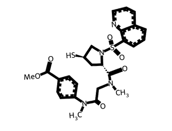 COC(=O)c1ccc(N(C)C(=O)CN(C)C(=O)[C@@H]2C[C@@H](S)CN2S(=O)(=O)c2cccc3cccnc23)cc1